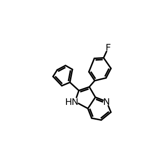 Fc1ccc(-c2c(-c3ccccc3)[nH]c3cccnc23)cc1